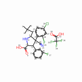 CC(C)(C)CC1NC(C(=O)O)C(c2cccc(F)c2)C1(C#N)c1ccc(Cl)cc1F.O=C(O)C(F)(F)F